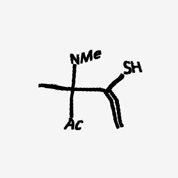 C=C(S)C(C)(NC)C(C)=O